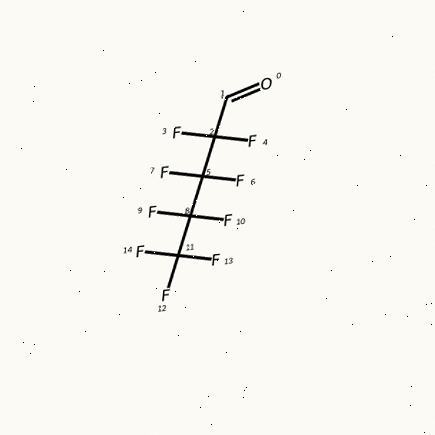 O=[C]C(F)(F)C(F)(F)C(F)(F)C(F)(F)F